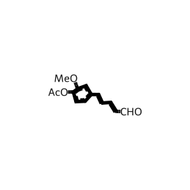 COc1cc(C=CC=CC=O)ccc1OC(C)=O